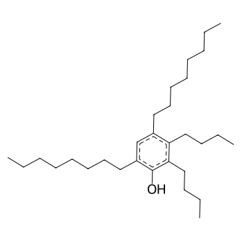 CCCCCCCCc1cc(CCCCCCCC)c(CCCC)c(CCCC)c1O